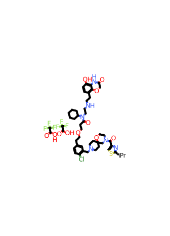 CC(C)c1nc(C(=O)N2CCOC3(CCN(Cc4cc(CCOCCC(=O)N(CCNCCc5ccc(O)c6c5OCC(=O)N6)C5CCCCC5)ccc4Cl)CC3)C2)cs1.O=C(O)C(F)(F)F.O=C(O)C(F)(F)F